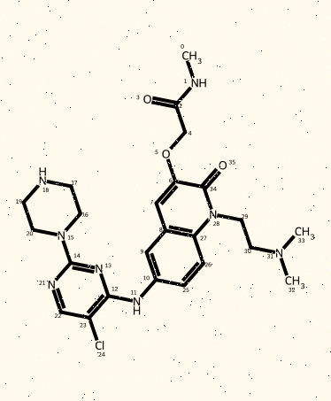 CNC(=O)COc1cc2cc(Nc3nc(N4CCNCC4)ncc3Cl)ccc2n(CCN(C)C)c1=O